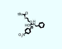 CC(C)(C)C(=O)SCCO[PH](O)(NCc1ccccc1)Oc1ccc([N+](=O)[O-])cc1